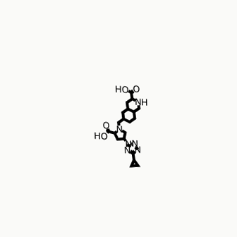 O=C(O)C1CC2CC(CN3CC(n4nnc(C5CC5)n4)CC3C(=O)O)CCC2CN1